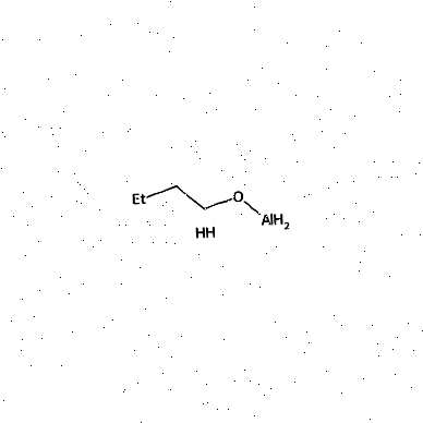 CCCC[O][AlH2].[HH]